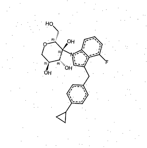 OC[C@H]1OC[C@H](O)[C@@H](O)[C@@]1(O)n1cc(Cc2ccc(C3CC3)cc2)c2c(F)cccc21